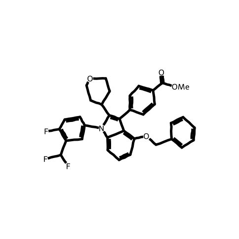 COC(=O)c1ccc(-c2c(C3CCOCC3)n(-c3ccc(F)c(C(F)F)c3)c3cccc(OCc4ccccc4)c23)cc1